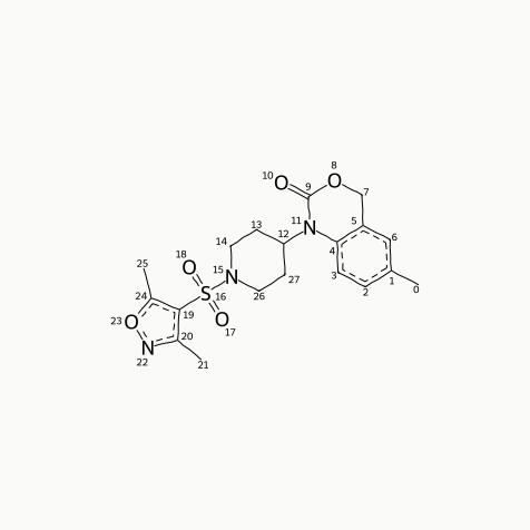 Cc1ccc2c(c1)COC(=O)N2C1CCN(S(=O)(=O)c2c(C)noc2C)CC1